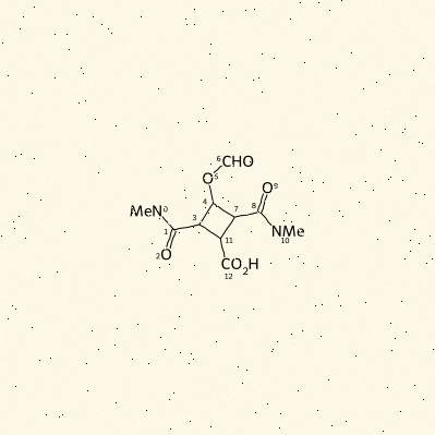 CNC(=O)C1C(OC=O)C(C(=O)NC)C1C(=O)O